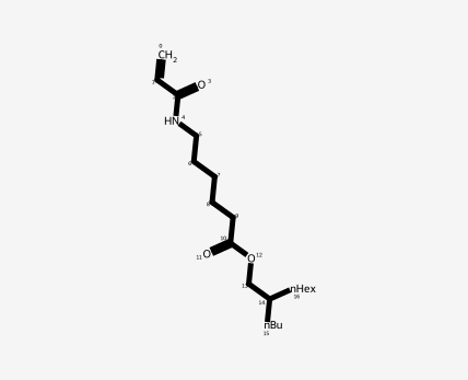 C=CC(=O)NCCCCCC(=O)OCC(CCCC)CCCCCC